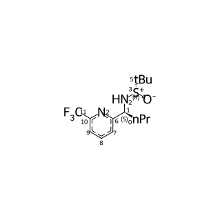 CCC[C@H](N[S@@+]([O-])C(C)(C)C)c1cccc(C(F)(F)F)n1